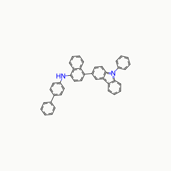 c1ccc(-c2ccc(Nc3ccc(-c4ccc5c(c4)c4ccccc4n5-c4ccccc4)c4ccccc34)cc2)cc1